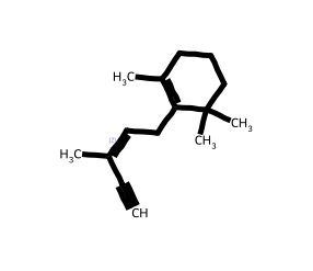 C#C/C(C)=C\CC1=C(C)CCCC1(C)C